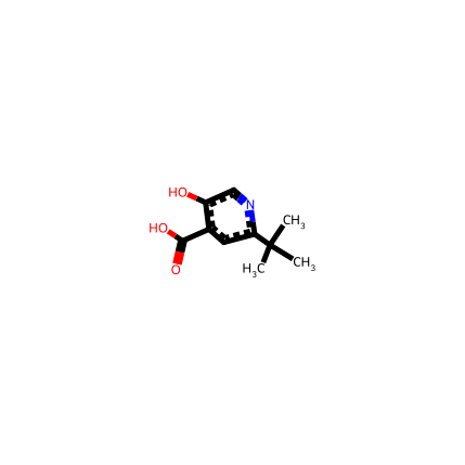 CC(C)(C)c1cc(C(=O)O)c(O)cn1